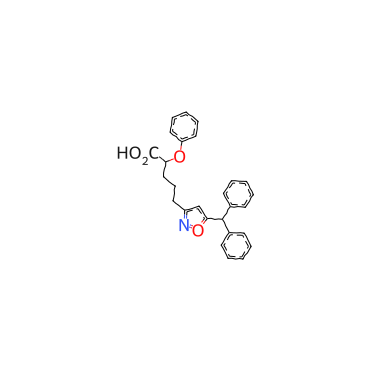 O=C(O)C(CCCc1cc(C(c2ccccc2)c2ccccc2)on1)Oc1ccccc1